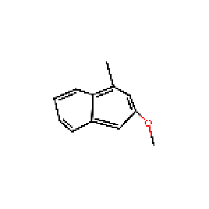 COc1[c]c(C)c2ccccc2c1